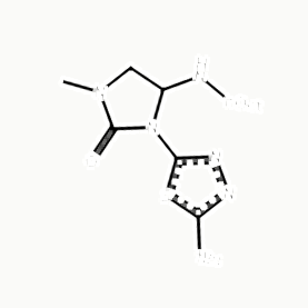 CCCCCCCCNC1CN(C)C(=O)N1c1nnc(C(C)(C)C)s1